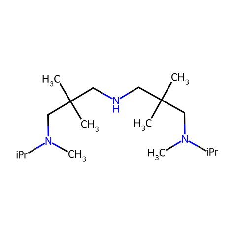 CC(C)N(C)CC(C)(C)CNCC(C)(C)CN(C)C(C)C